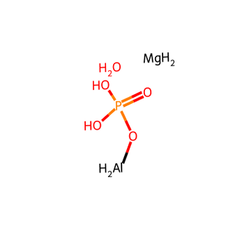 O.O=P(O)(O)[O][AlH2].[MgH2]